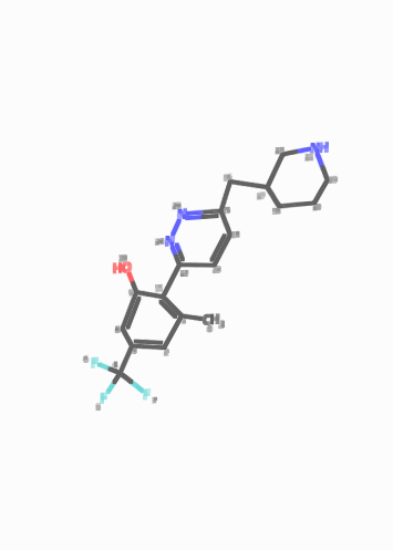 Cc1cc(C(F)(F)F)cc(O)c1-c1ccc(CC2CCCNC2)nn1